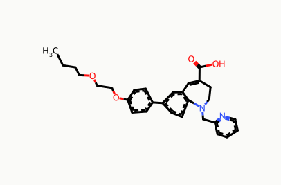 CCCCOCCOc1ccc(-c2ccc3c(c2)C=C(C(=O)O)CCN3Cc2ccccn2)cc1